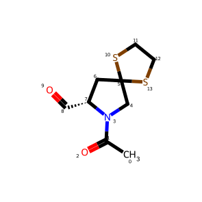 CC(=O)N1CC2(C[C@H]1C=O)SCCS2